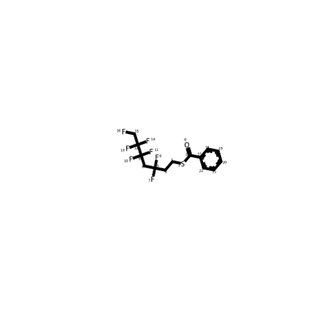 O=C(SCCC(F)(F)CC(F)(F)C(F)(F)CF)c1ccccc1